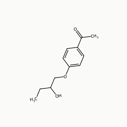 CCC(O)COc1ccc(C(C)=O)cc1